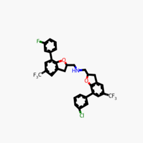 Fc1cccc(-c2cc(C(F)(F)F)cc3c2OC(CNCC2Cc4cc(C(F)(F)F)cc(-c5cccc(Cl)c5)c4O2)C3)c1